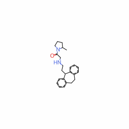 CC1CCCN1C(=O)CNCCC1c2ccccc2CCc2ccccc21